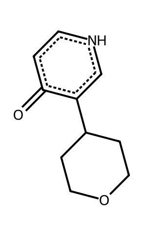 O=c1cc[nH]cc1C1CCOCC1